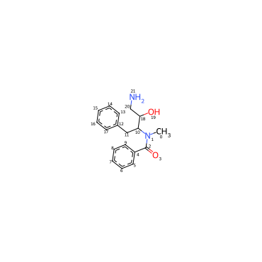 CN(C(=O)c1ccccc1)C(Cc1ccccc1)C(O)CN